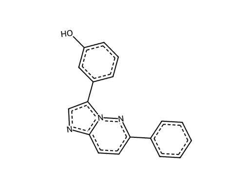 Oc1cccc(-c2cnc3ccc(-c4ccccc4)nn23)c1